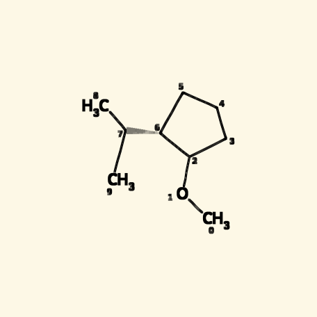 COC1CCC[C@H]1C(C)C